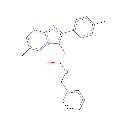 Cc1ccc(-c2nc3ncc(C)cn3c2CC(=O)OCc2ccccc2)cc1